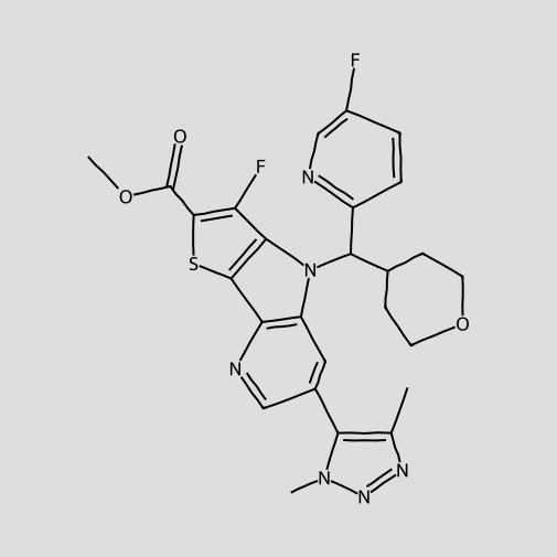 COC(=O)c1sc2c3ncc(-c4c(C)nnn4C)cc3n(C(c3ccc(F)cn3)C3CCOCC3)c2c1F